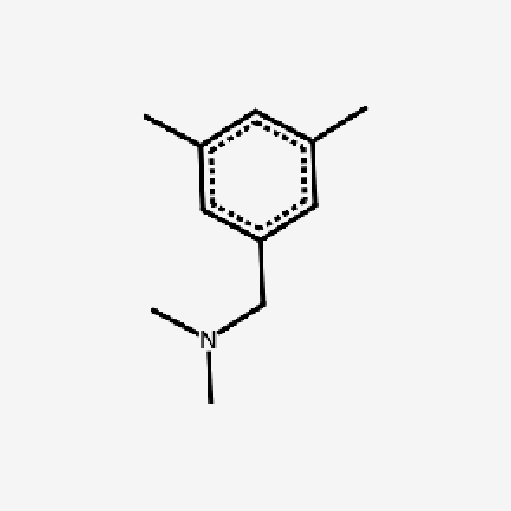 Cc1cc(C)cc(CN(C)C)c1